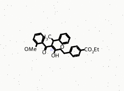 CCOC(=O)c1ccc(CC(=O)/C(O)=C(/C(=O)c2ccccc2OC)C(C)c2ccccc2)cc1